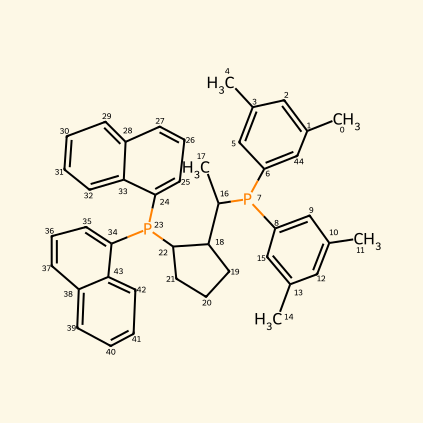 Cc1cc(C)cc(P(c2cc(C)cc(C)c2)C(C)C2CCCC2P(c2cccc3ccccc23)c2cccc3ccccc23)c1